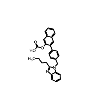 CCCCc1nc2ccccc2n1Cc1ccc(-c2cc3ccccc3cc2OC(=O)O)cc1